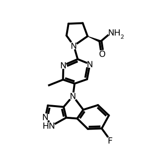 Cc1nc(N2CCC[C@H]2C(N)=O)ncc1-n1c2ccc(F)cc2c2[nH]ncc21